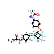 CC(=O)Nc1ccc(OC2(F)C(F)(F)C(F)(F)C2(F)Oc2ccc(NC(C)=O)cc2)cc1